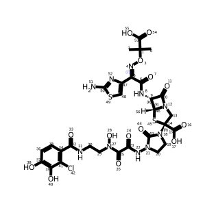 CC(C)(O/N=C(\C(=O)N[C@@H]1C(=O)N2C[C@@](C(=O)O)(N3CCN(NC(=O)C(=O)N(O)CCNC(=O)c4ccc(O)c(O)c4Cl)C3=O)S[C@H]12)c1csc(N)n1)C(=O)O